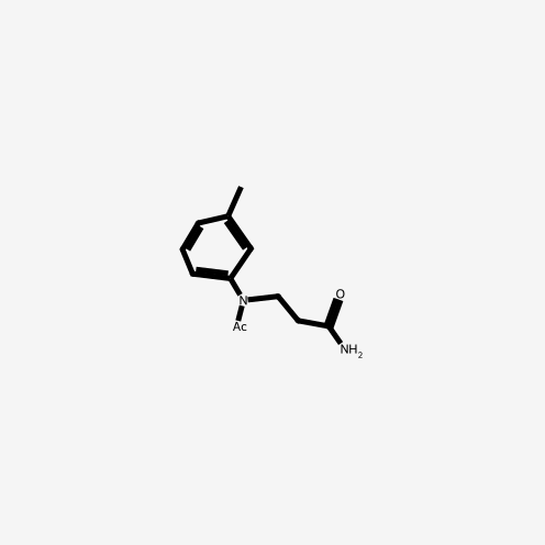 CC(=O)N(CCC(N)=O)c1cccc(C)c1